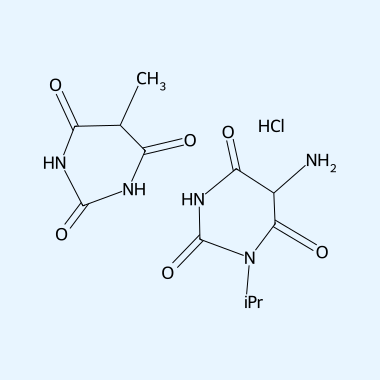 CC(C)N1C(=O)NC(=O)C(N)C1=O.CC1C(=O)NC(=O)NC1=O.Cl